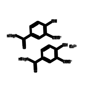 CCCCCCCC(=O)c1ccc(O)c(C(=O)[O-])c1.CCCCCCCC(=O)c1ccc(O)c(C(=O)[O-])c1.[Ca+2]